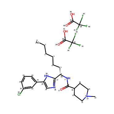 CC(=O)CCCCC[C@H](NC(=O)C1CCN(C)CC1)c1ncc(-c2cccc(Cl)c2)[nH]1.O=C(O)C(F)(F)F.O=C(O)C(F)(F)F